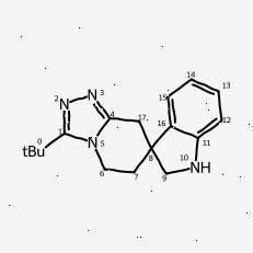 CC(C)(C)c1nnc2n1CCC1(CNc3ccccc31)C2